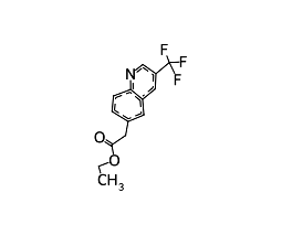 CCOC(=O)Cc1ccc2ncc(C(F)(F)F)cc2c1